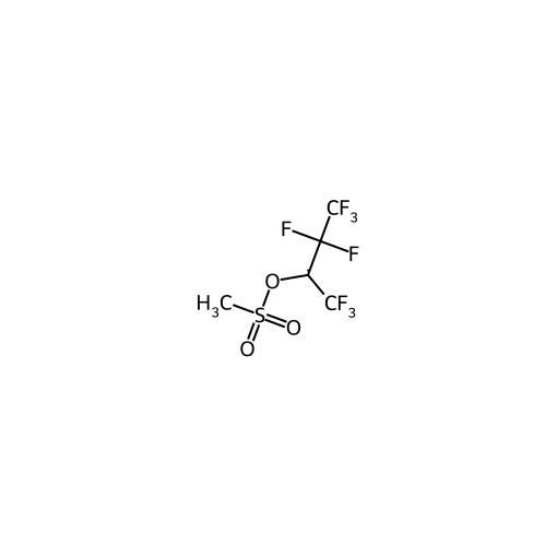 CS(=O)(=O)O[C](C(F)(F)F)C(F)(F)C(F)(F)F